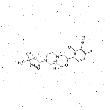 CC(C)(C)OC(=O)N1CCN2CC(c3ccc(F)c(C#N)c3Cl)OC[C@H]2C1